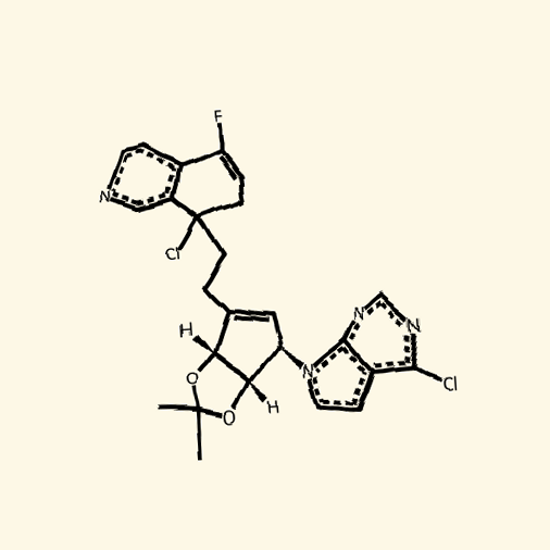 CC1(C)O[C@@H]2[C@H](O1)C(CCC1(Cl)CC=C(F)c3ccncc31)=C[C@H]2n1ccc2c(Cl)ncnc21